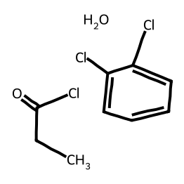 CCC(=O)Cl.Clc1ccccc1Cl.O